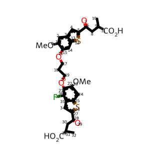 COc1cc2cc(C(=O)CC(C)C(=O)O)sc2cc1OCCCOc1c(OC)cc2sc(C(=O)CC(C)C(=O)O)cc2c1F